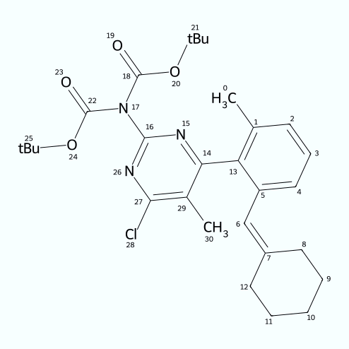 Cc1cccc(C=C2CCCCC2)c1-c1nc(N(C(=O)OC(C)(C)C)C(=O)OC(C)(C)C)nc(Cl)c1C